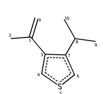 C=C(C)c1cscc1C(C)C